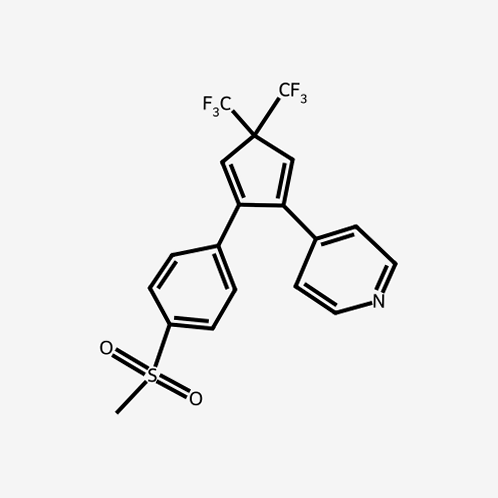 CS(=O)(=O)c1ccc(C2=CC(C(F)(F)F)(C(F)(F)F)C=C2c2ccncc2)cc1